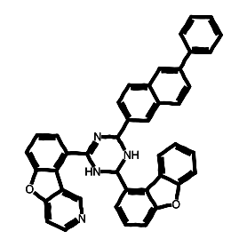 c1ccc(-c2ccc3cc(C4N=C(c5cccc6oc7ccncc7c56)NC(c5cccc6oc7ccccc7c56)N4)ccc3c2)cc1